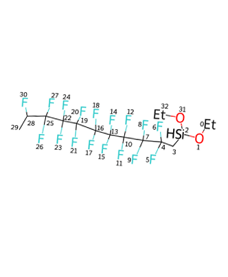 CCO[SiH](CC(F)(F)C(F)(F)C(F)(F)C(F)(F)C(F)(F)C(F)(F)C(F)(F)C(F)(F)C(C)F)OCC